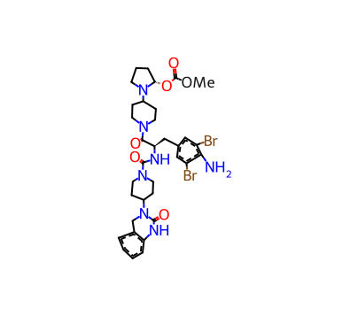 COC(=O)O[C@H]1CCCN1C1CCN(C(=O)[C@@H](Cc2cc(Br)c(N)c(Br)c2)NC(=O)N2CCC(N3Cc4ccccc4NC3=O)CC2)CC1